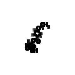 C=COc1ccc(C(=O)OCC(F)(F)S(=O)(=O)O)cc1